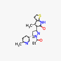 CCC(=O)N1N=C(c2c(C)c3ccsc3[nH]c2=O)C[C@H]1c1ccc(C)nc1